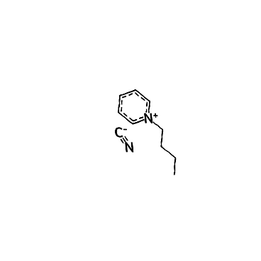 CCCC[n+]1ccccc1.[C-]#N